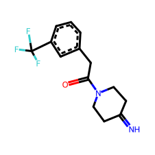 N=C1CCN(C(=O)Cc2cccc(C(F)(F)F)c2)CC1